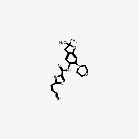 CC1(C)Cc2cc(NC(=O)c3cnc(/C=C\C=N)[nH]3)c(N3CCOCC3)cc2O1